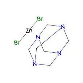 C1N2CN3CN1CN(C2)C3.[Br][Zn][Br]